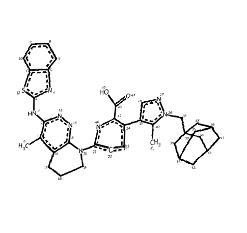 Cc1c(Nc2nc3ccccc3s2)nnc2c1CCCN2c1ccc(-c2cnn(CC34CC5CC(CC(C5)C3)C4)c2C)c(C(=O)O)n1